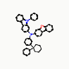 c1ccc(-n2c3ccccc3c3ccc(N(c4cccc(C5(c6ccccc6)CCCCC5)c4)c4ccc5c(c4)oc4ccccc45)cc32)cc1